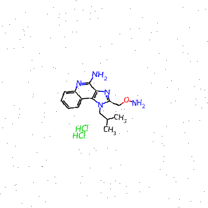 CC(C)Cn1c(CON)nc2c(N)nc3ccccc3c21.Cl.Cl